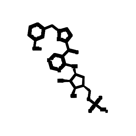 COc1cccc(Cn2ccc(C(=O)c3cncnc3N[C@@H]3C[C@H](COS(N)(=O)=O)[C@@H](O)[C@H]3O)n2)c1